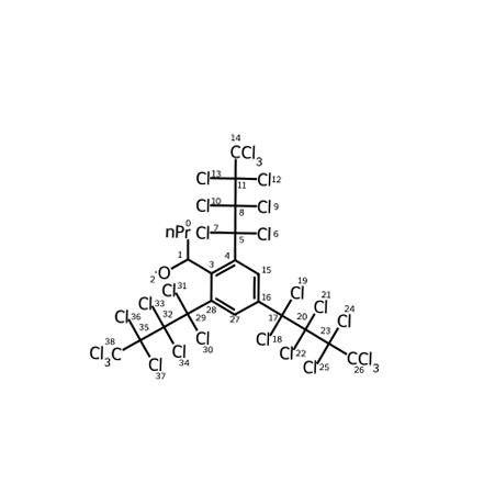 CCCC([O])c1c(C(Cl)(Cl)C(Cl)(Cl)C(Cl)(Cl)C(Cl)(Cl)Cl)cc(C(Cl)(Cl)C(Cl)(Cl)C(Cl)(Cl)C(Cl)(Cl)Cl)cc1C(Cl)(Cl)C(Cl)(Cl)C(Cl)(Cl)C(Cl)(Cl)Cl